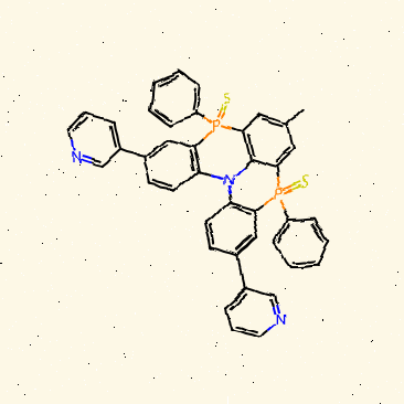 Cc1cc2c3c(c1)P(=S)(c1ccccc1)c1cc(-c4cccnc4)ccc1N3c1ccc(-c3cccnc3)cc1P2(=S)c1ccccc1